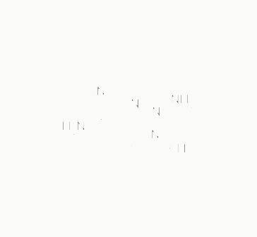 CN1CC2=C(N)N=C[N+]2N1N